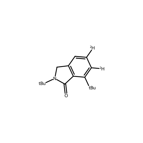 [2H]c1cc2c(c(C(C)(C)C)c1[2H])C(=O)N(C(C)(C)C)C2